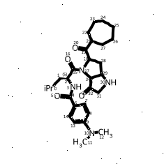 CC(C)C[C@H](NC(=O)c1ccc(N(C)C)cc1)C(=O)N1C(C(=O)C2CCCCCC2)CC2NCC(=O)C21